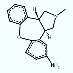 CN1C[C@H]2c3ccccc3Oc3ccc(N)cc3[C@@H]2C1